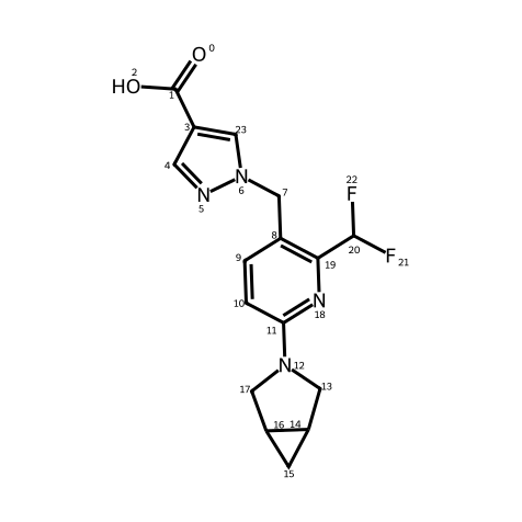 O=C(O)c1cnn(Cc2ccc(N3CC4CC4C3)nc2C(F)F)c1